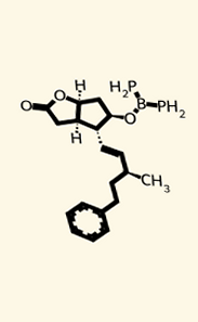 C[C@H](/C=C/[C@@H]1[C@H]2CC(=O)O[C@H]2C[C@H]1OB(P)P)CCc1ccccc1